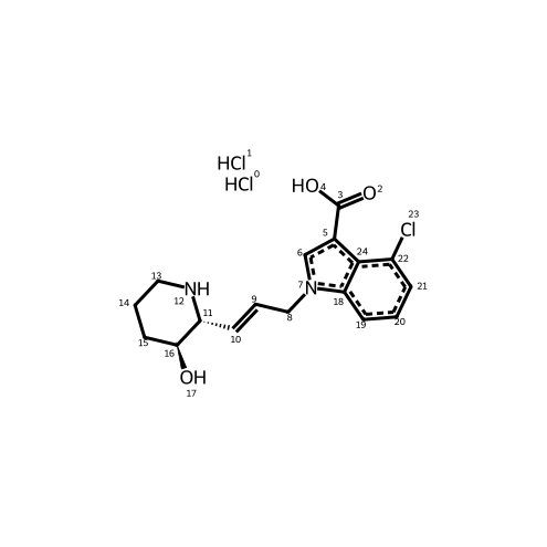 Cl.Cl.O=C(O)c1cn(C/C=C/[C@H]2NCCC[C@@H]2O)c2cccc(Cl)c12